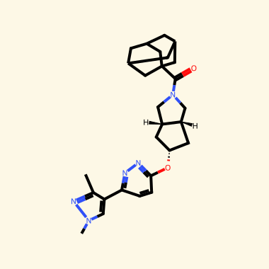 Cc1nn(C)cc1-c1ccc(O[C@@H]2C[C@@H]3CN(C(=O)C45CC6CC(CC(C6)C4)C5)C[C@@H]3C2)nn1